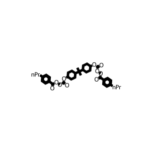 CCCc1ccc(C(=O)OOC(=O)OC2CCC(C(C)(C)C3CCC(OC(=O)OOC(=O)c4ccc(CCC)cc4)CC3)CC2)cc1